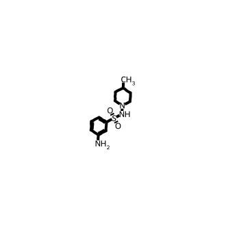 CC1CCN(NS(=O)(=O)c2cccc(N)c2)CC1